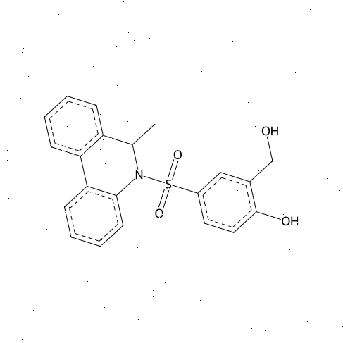 CC1c2ccccc2-c2ccccc2N1S(=O)(=O)c1ccc(O)c(CO)c1